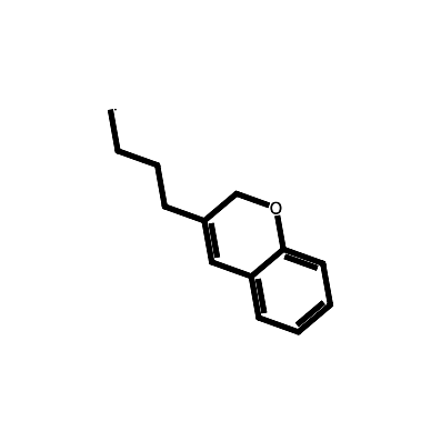 [CH2]CCCC1=Cc2ccccc2OC1